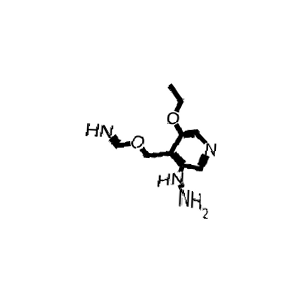 CCOc1cncc(NN)c1COC=N